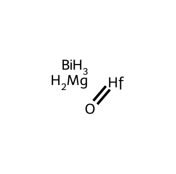 [BiH3].[MgH2].[O]=[Hf]